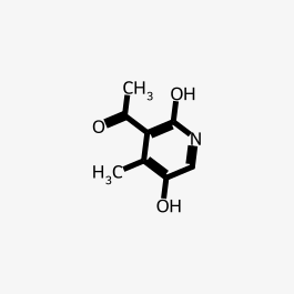 CC(=O)c1c(O)ncc(O)c1C